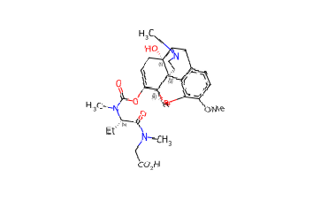 CC[C@@H](C(=O)N(C)CC(=O)O)N(C)C(=O)OC1=CC[C@@]2(O)C3Cc4ccc(OC)c5c4[C@@]2(CCN3C)[C@H]1O5